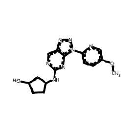 COc1ccc(-n2nnc3cnc(NC4CCC(O)C4)nc32)nc1